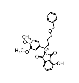 COc1ccc([C@@H](CCCOCc2ccccc2)N2C(=O)c3cccc(O)c3C2=O)cc1OC